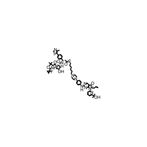 C=CCn1c(=O)c2cnc(Nc3ccc(N4CCN(CCCCCCN(C)C(=O)C[C@H](NC(=O)[C@@H]5C[C@@H](O)CN5C(=O)[C@@H](NC(=O)C5(F)CC5)C(C)(C)C)c5ccc(-c6scnc6C)cc5)CC4)cc3)nc2n1-c1cccc(C(C)(C)O)n1